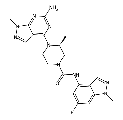 C[C@H]1CN(C(=O)Nc2cc(F)cc3c2cnn3C)CCN1c1nc(N)nc2c1cnn2C